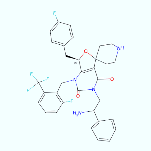 NC(Cn1c(=O)c2c(n(Cc3c(F)cccc3C(F)(F)F)c1=O)[C@@H](Cc1ccc(F)cc1)OC21CCNCC1)c1ccccc1